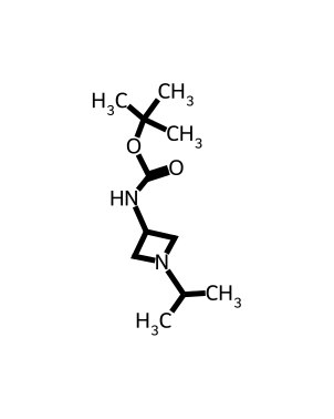 CC(C)N1CC(NC(=O)OC(C)(C)C)C1